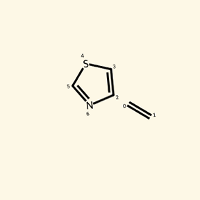 C=C.c1cscn1